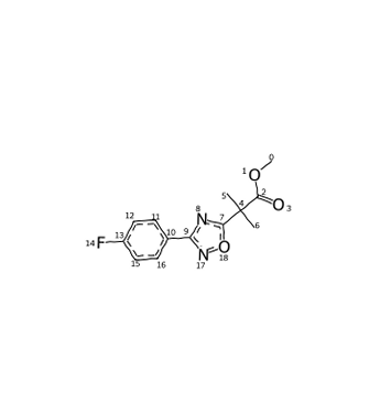 COC(=O)C(C)(C)c1nc(-c2ccc(F)cc2)no1